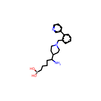 NC(CCCCB(O)O)C1CCN(Cc2ccccc2-c2cccnc2)CC1